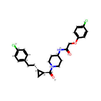 O=C(COc1ccc(Cl)cc1)NC1CCN(C(=O)[C@H]2C[C@@H]2CCc2ccc(Cl)cc2)CC1